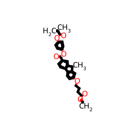 C=COC(=O)CCCOc1ccc2c(c1)C(C)c1cc(C(=O)Oc3ccc(OC(=O)C(=C)C)cc3)ccc1-2